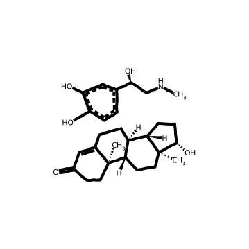 CNC[C@H](O)c1ccc(O)c(O)c1.C[C@]12CC[C@H]3[C@@H](CCC4=CC(=O)CC[C@@]43C)[C@@H]1CC[C@@H]2O